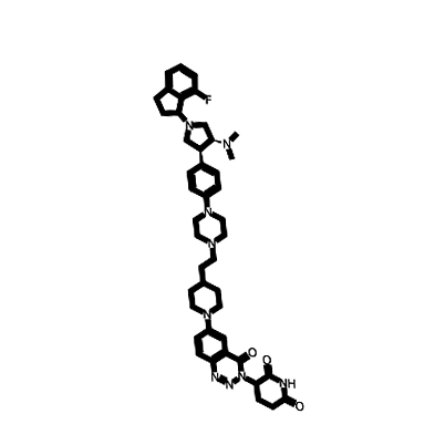 CN(C)[C@H]1CN(C2CCc3cccc(F)c32)C[C@@H]1c1ccc(N2CCN(CCC3CCN(c4ccc5nnn(C6CCC(=O)NC6=O)c(=O)c5c4)CC3)CC2)cc1